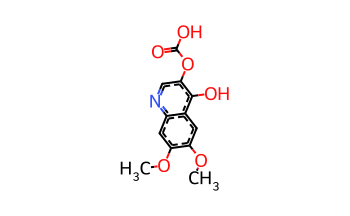 COc1cc2ncc(OC(=O)O)c(O)c2cc1OC